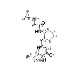 CC(C)c1n[nH]c2c(=O)[nH]c(C[C@@H]3CCCC[C@H]3NC(=O)CNC3CC3)nc12